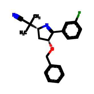 CC(C)(C#N)[C@H]1C[C@@H](OCc2ccccc2)C(c2cccc(F)c2)=N1